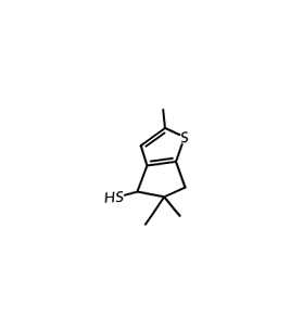 Cc1cc2c(s1)CC(C)(C)C2S